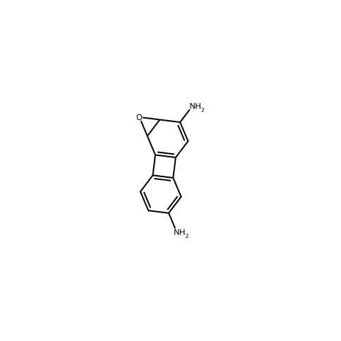 NC1=CC2=C(c3ccc(N)cc32)C2OC12